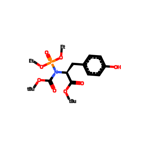 CCOP(=O)(OCC)N(C(=O)OC(C)(C)C)[C@@H](Cc1ccc(O)cc1)C(=O)OC(C)(C)C